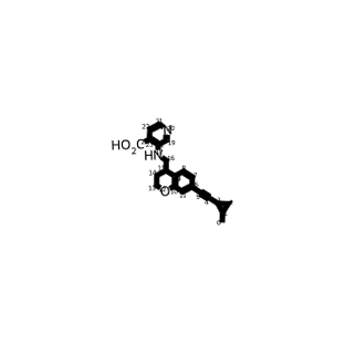 CC1CC1C#Cc1ccc2c(c1)OCCC2CNc1cnccc1C(=O)O